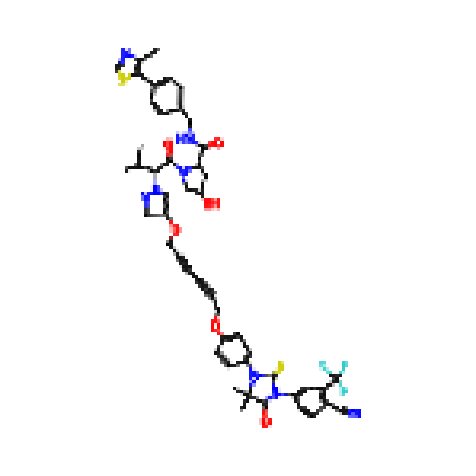 Cc1ncsc1-c1ccc(CNC(=O)C2CC(O)CN2C(=O)C(C(C)C)n2cc(OCC#CC#CCOc3ccc(N4C(=S)N(c5ccc(C#N)c(C(F)(F)F)c5)C(=O)C4(C)C)cc3)cn2)cc1